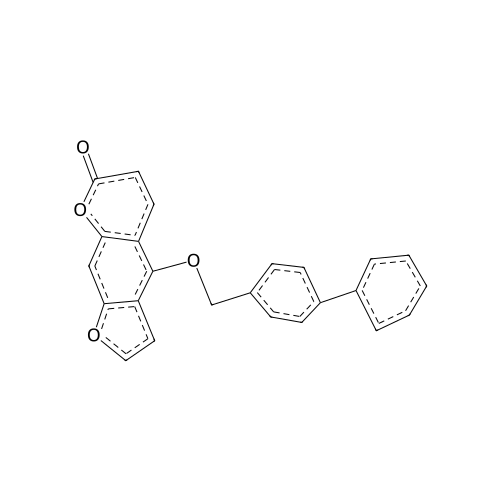 O=c1ccc2c(OCc3ccc(-c4ccccc4)cc3)c3ccoc3cc2o1